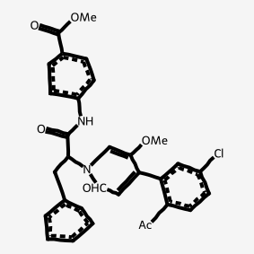 COC(=O)c1ccc(NC(=O)C(Cc2ccccc2)N(C)/C=C(OC)\C(=C/C=O)c2cc(Cl)ccc2C(C)=O)cc1